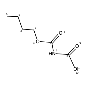 CCCCOC(=O)NC(=O)O